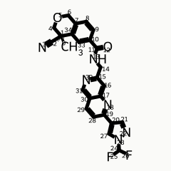 C[C@@]1(C#N)COCc2ccc(C(=O)NCc3cc4nc(-c5cnn(C(F)F)c5)ccc4cn3)cc21